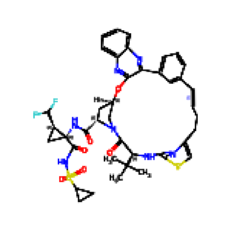 CC(C)(C)[C@@H]1Nc2nc(cs2)CC/C=C/c2cccc(c2)-c2nc3ccccc3nc2O[C@@H]2C[C@@H](C(=O)N[C@]3(C(=O)NS(=O)(=O)C4CC4)C[C@H]3C(F)F)N(C2)C1=O